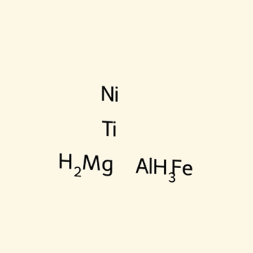 [AlH3].[Fe].[MgH2].[Ni].[Ti]